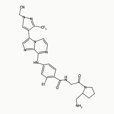 CCc1cc(Nc2nccn3c(-c4cn(CC#N)nc4C(F)(F)F)cnc23)ccc1C(=O)NCC(=O)N1CCCC1CN